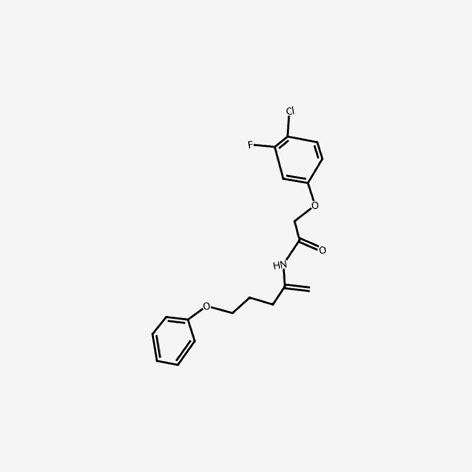 C=C(CCCOc1ccccc1)NC(=O)COc1ccc(Cl)c(F)c1